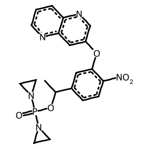 CC(OP(=O)(N1CC1)N1CC1)c1ccc([N+](=O)[O-])c(Oc2cnc3cccnc3c2)c1